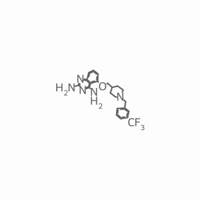 Nc1nc(N)c2c(OCC3CCN(Cc4cccc(C(F)(F)F)c4)CC3)cccc2n1